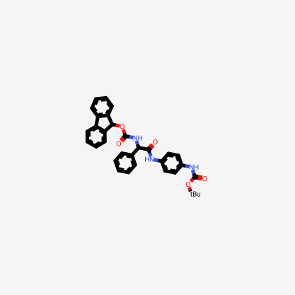 CC(C)(C)OC(=O)Nc1ccc(NC(=O)C(NC(=O)OC2c3ccccc3-c3ccccc32)c2ccccc2)cc1